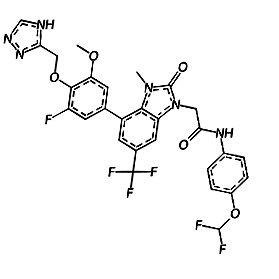 COc1cc(-c2cc(C(F)(F)F)cc3c2n(C)c(=O)n3CC(=O)Nc2ccc(OC(F)F)cc2)cc(F)c1OCc1nnc[nH]1